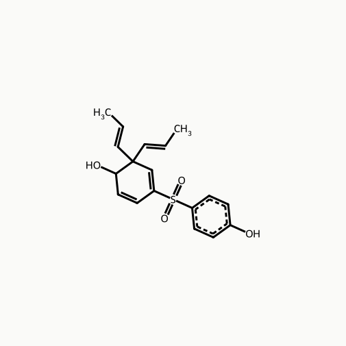 CC=CC1(C=CC)C=C(S(=O)(=O)c2ccc(O)cc2)C=CC1O